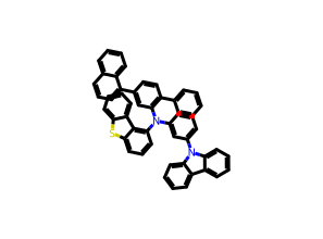 c1ccc(-c2ccc(-c3cccc4ccccc34)cc2N(c2cccc(-n3c4ccccc4c4ccccc43)c2)c2cccc3sc4ccccc4c23)cc1